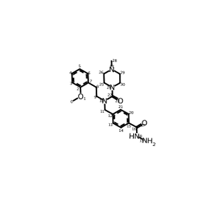 COc1ccccc1CCN(Cc1ccc(C(=O)NN)cc1)C(=O)N1CCN(C)CC1